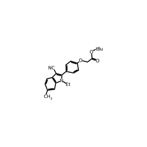 CCn1c(-c2ccc(OCC(=O)OC(C)(C)C)cc2)c(C#N)c2ccc(C)cc21